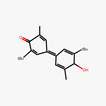 CC1=CC(=C2C=C(C)C(O)C(C(C)(C)C)=C2)C=C(C(C)(C)C)C1=O